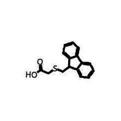 O=C(O)CSCC1c2ccccc2-c2ccccc21